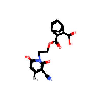 Cc1cc(O)n(CCOC(=O)C2C3C=CC(C3)C2C(=O)O)c(=O)c1C#N